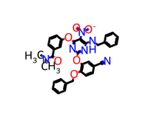 CN(C)C(=O)c1cccc(Oc2nc(Oc3cc(C#N)ccc3OCc3ccccc3)nc(NCc3ccccc3)c2[N+](=O)[O-])c1